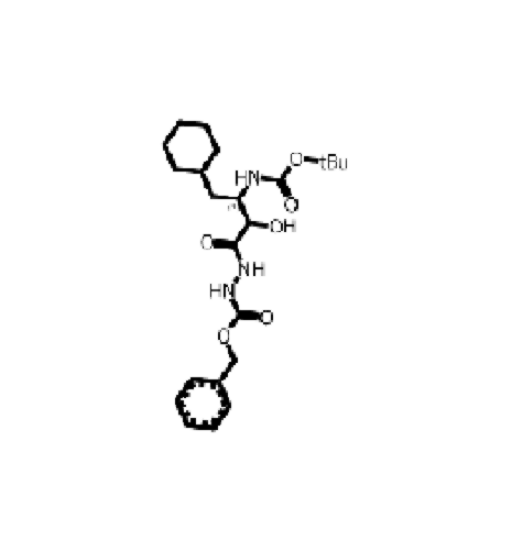 CC(C)(C)OC(=O)N[C@H](CC1CCCCC1)C(O)C(=O)NNC(=O)OCc1ccccc1